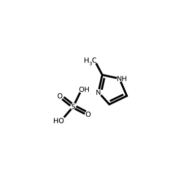 Cc1ncc[nH]1.O=S(=O)(O)O